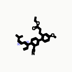 C=C/C(=C\C=C/C(C)C)c1ccc(-c2ccc(OC)cc2CCC(=O)OCC)cc1C#N